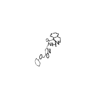 O=C(NCC1=NOC(COC2CCCCC2)C1)c1nccc2ccccc12